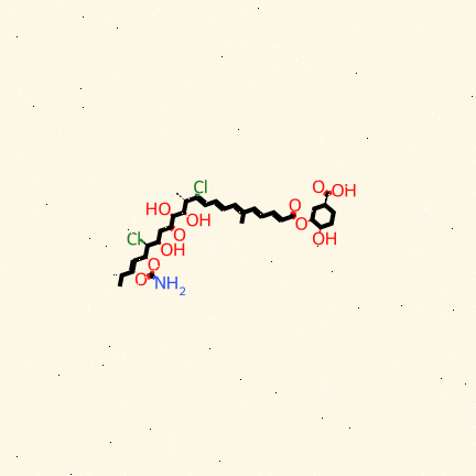 CC/C=C/[C@@H](OC(N)=O)[C@@H](Cl)[C@H](O)CC(=O)[C@@H](O)[C@H](O)[C@H](C)/C(Cl)=C/C=C/C=C(C)/C=C/C=C/C(=O)O[C@@H]1C[C@@H](C(=O)O)CC[C@@H]1O